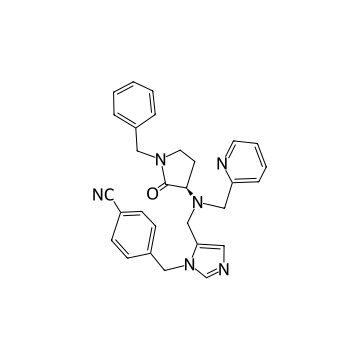 N#Cc1ccc(Cn2cncc2CN(Cc2ccccn2)[C@@H]2CCN(Cc3ccccc3)C2=O)cc1